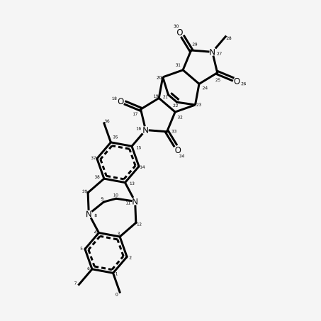 Cc1cc2c(cc1C)N1CCN(C2)c2cc(N3C(=O)C4C5C=CC(C6C(=O)N(C)C(=O)C56)C4C3=O)c(C)cc2C1